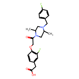 CC1CN(C(=O)COc2ccc(CC(=O)O)cc2F)C(C)CN1Cc1ccc(F)cc1